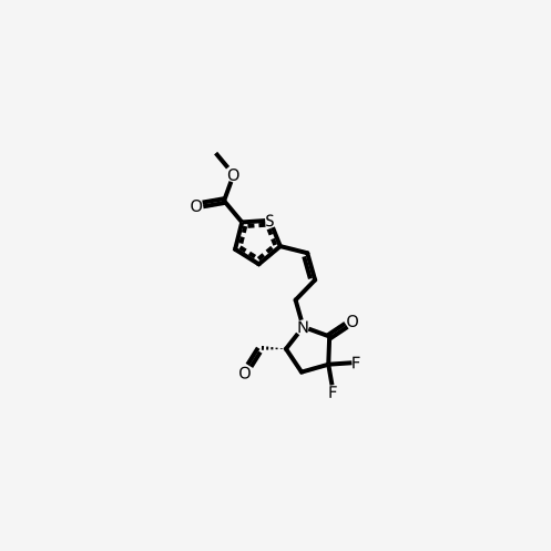 COC(=O)c1ccc(/C=C\CN2C(=O)C(F)(F)C[C@@H]2C=O)s1